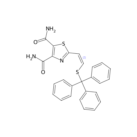 NC(=O)c1nc(/C=C\SC(c2ccccc2)(c2ccccc2)c2ccccc2)sc1C(N)=O